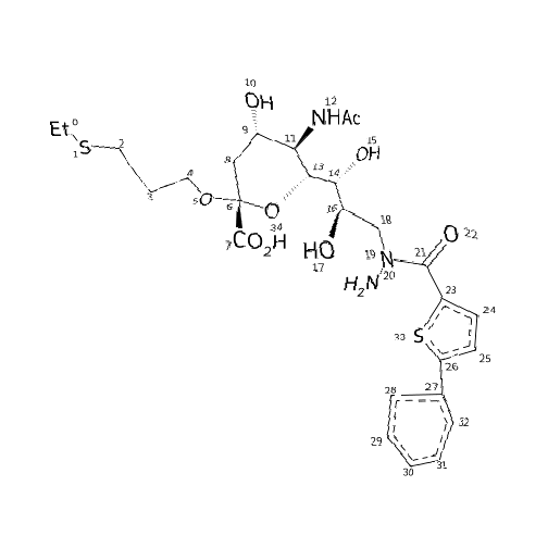 CCSCCCO[C@]1(C(=O)O)C[C@H](O)[C@@H](NC(C)=O)[C@H]([C@H](O)[C@H](O)CN(N)C(=O)c2ccc(-c3ccccc3)s2)O1